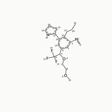 C=Nc1cc(C(OCCOC)C(F)(F)F)cc(-c2nccs2)c1CCC